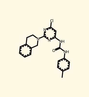 Cc1ccc(NC(=O)Nc2cc(Cl)nc(N3CCc4ccccc4C3)n2)cc1